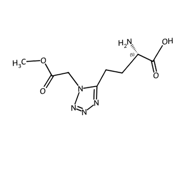 COC(=O)Cn1nnnc1CC[C@H](N)C(=O)O